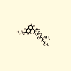 CCCC(N)C(=O)OC1OCC(c2cccc3cc(OC)ccc23)CO1